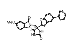 COc1ccc2c(c1)C(=O)N(C[C@@]1(c3cc4cc(-c5cccnc5)ccc4o3)NC(=O)NC1=O)C2